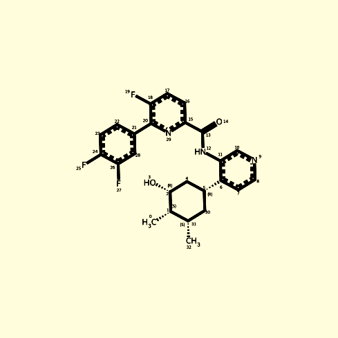 C[C@@H]1[C@H](O)C[C@H](c2ccncc2NC(=O)c2ccc(F)c(-c3ccc(F)c(F)c3)n2)C[C@@H]1C